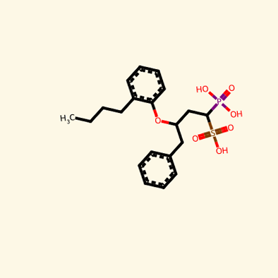 CCCCc1ccccc1OC(Cc1ccccc1)CC(P(=O)(O)O)S(=O)(=O)O